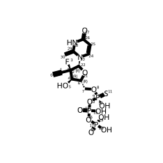 C#C[C@@]1(F)[C@H](O)[C@@H](CO[P@](O)(=S)OP(=O)(O)OP(=O)(O)O)O[C@H]1N1C=CC(=O)NC1=C